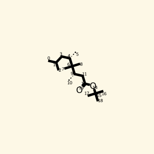 CC(C)C[C@H](C)C(C)(C)[C@@H](C)CC(=O)OC(C)(C)C